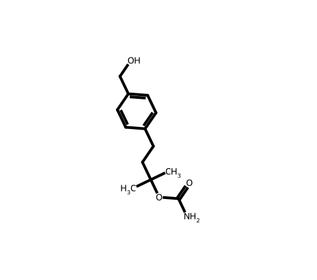 CC(C)(CCc1ccc(CO)cc1)OC(N)=O